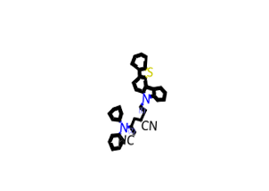 N#C/C=C(/CC(C#N)/C=C/n1c2ccccc2c2c3sc4ccccc4c3ccc21)N(c1ccccc1)c1ccccc1